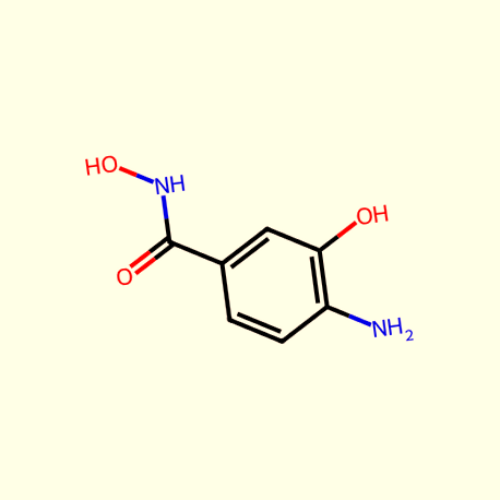 Nc1ccc(C(=O)NO)cc1O